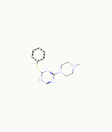 CN1CCN(C2=NC(Sc3ccccc3)NC=N2)CC1